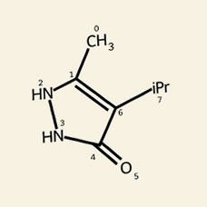 Cc1[nH][nH]c(=O)c1C(C)C